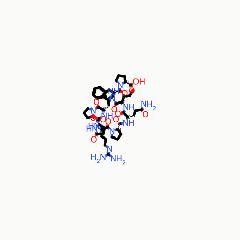 CC[C@H](C)[C@H](NC(=O)[C@H](CCC(N)=O)NC(=O)[C@@H]1CCCN1C(=O)[C@H](CCCN=C(N)N)NC(=O)[C@@H]1CCCN1C(=O)[C@H](Cc1c[nH]c2ccccc12)NC(=O)[C@@H]1CCC(=O)N1)C(=O)N1CCC[C@H]1C(=O)N1CCC[C@H]1C(=O)O